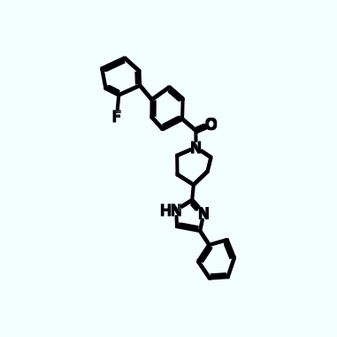 O=C(c1ccc(-c2ccccc2F)cc1)N1CCC(c2nc(-c3ccccc3)c[nH]2)CC1